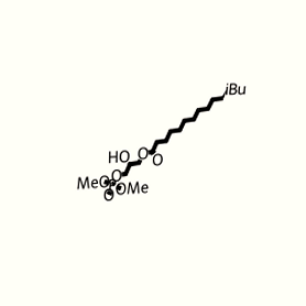 CC[C@H](C)CCCCCCCCCCC(=O)OC[C@H](O)COP(=O)(OC)OC